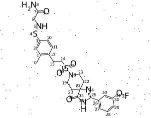 Cc1cc(SNCC(N)=O)ccc1CCS(=O)(=O)N1CCC2(CC1)N=C(c1cccc(OF)c1)NC2=O